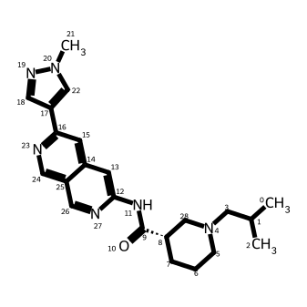 CC(C)CN1CCC[C@H](C(=O)Nc2cc3cc(-c4cnn(C)c4)ncc3cn2)C1